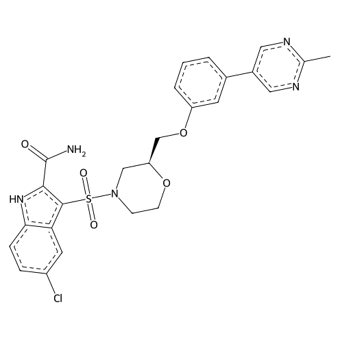 Cc1ncc(-c2cccc(OC[C@@H]3CN(S(=O)(=O)c4c(C(N)=O)[nH]c5ccc(Cl)cc45)CCO3)c2)cn1